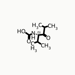 CC(C)C(=O)[C@@H](NC(=O)O)C(C)C